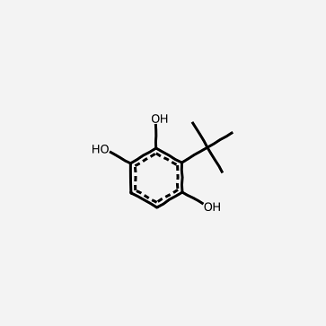 CC(C)(C)c1c(O)ccc(O)c1O